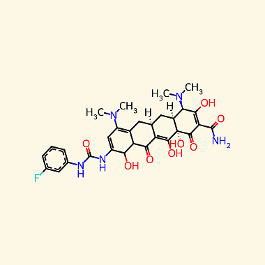 CN(C)C1=C2C[C@H]3C[C@H]4[C@@H](N(C)C)C(O)=C(C(N)=O)C(=O)[C@@]4(O)C(O)=C3C(=O)C2C(O)C(NC(=O)Nc2cccc(F)c2)=C1